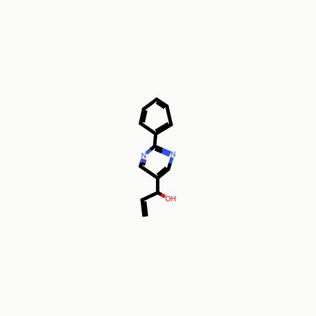 C=CC(O)c1cnc(-c2ccccc2)nc1